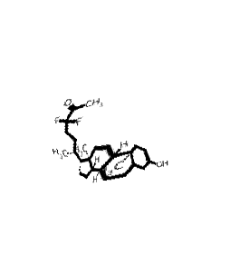 CC(=O)C(F)(F)CC[C@@H](C)[C@H]1CC[C@H]2[C@@H]3CCC4CC(O)=CC[C@]4(C)[C@H]3CC[C@]12C